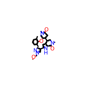 COCn1cc(-c2cc3c(-c4cc(=O)n(C)cc4Oc4c(C)cccc4C)cn(C)c(=O)c3[nH]2)cn1